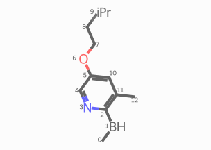 CBc1ncc(OCCC(C)C)cc1C